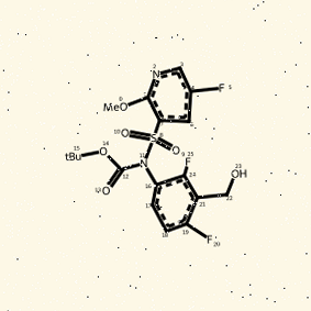 COc1ncc(F)cc1S(=O)(=O)N(C(=O)OC(C)(C)C)c1ccc(F)c(CO)c1F